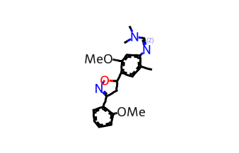 COc1ccccc1C1=NOC(c2cc(C)c(/N=C\N(C)C)cc2OC)C1